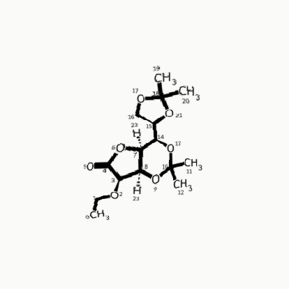 CCO[C@H]1C(=O)O[C@@H]2[C@H]1OC(C)(C)O[C@@H]2[C@H]1COC(C)(C)O1